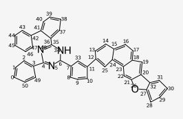 c1ccc(C2=NC(c3cccc(-c4ccc5ccc6cc7c(cc6c5c4)oc4ccccc47)c3)NC(c3ccccc3-c3ccccc3)=N2)cc1